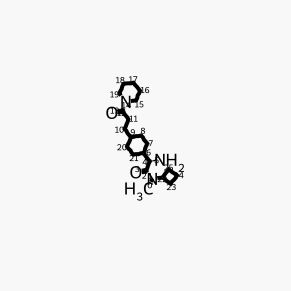 CN(C(=O)[C@@H](N)C1CCC(CCC(=O)N2CCCCC2)CC1)C1CCC1